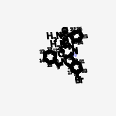 NC(=S)N(/N=C1\C(=O)N(Cc2ccccc2)c2cc(Br)ccc21)c1ccccc1S(N)(=O)=O